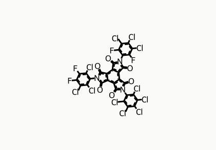 O=c1c2c(c(=O)n1-c1c(F)c(Cl)c(Cl)c(Cl)c1F)c1c(=O)n(-c3c(Cl)c(Cl)c(Cl)c(Cl)c3Cl)c(=O)c1c1c(=O)n(-c3c(Cl)c(F)c(F)c(Cl)c3Cl)c(=O)c21